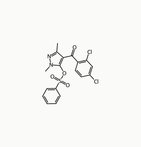 Cc1nn(C)c(OS(=O)(=O)c2ccccc2)c1C(=O)c1ccc(Cl)cc1Cl